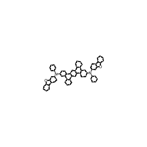 c1ccc(N(c2ccc3c(c2)oc2ccccc23)c2ccc3c(c2)c2ccccc2c2cc4c5ccc(N(c6ccccc6)c6ccc7c(c6)oc6ccccc67)cc5c5ccccc5c4cc32)cc1